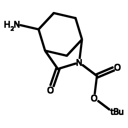 CC(C)(C)OC(=O)N1C(=O)C2CC1CCC2N